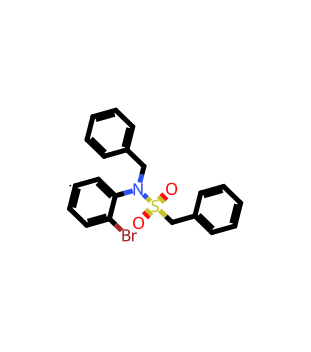 O=S(=O)(Cc1ccccc1)N(Cc1ccccc1)c1c[c]ccc1Br